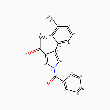 COC(=O)c1cn(C(=O)c2ccccc2)cc1-c1cccc([N+](=O)[O-])c1